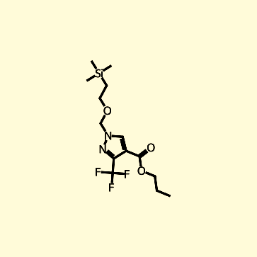 CCCOC(=O)c1cn(COCC[Si](C)(C)C)nc1C(F)(F)F